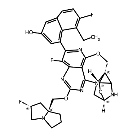 CCc1c(F)ccc2cc(O)cc(-c3nc4c5c(nc(OC[C@@]67CCCN6C[C@H](F)C7)nc5c3F)N3C[C@H]5C[C@H]6C(N5)[C@@]63CO4)c12